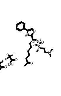 CC(=O)CCCCC[C@H](NS(=O)(=O)N(C)CCN(C)C)c1ncc(-c2ccccc2)[nH]1.O=C(O)C(F)(F)F.O=C(O)C(F)(F)F